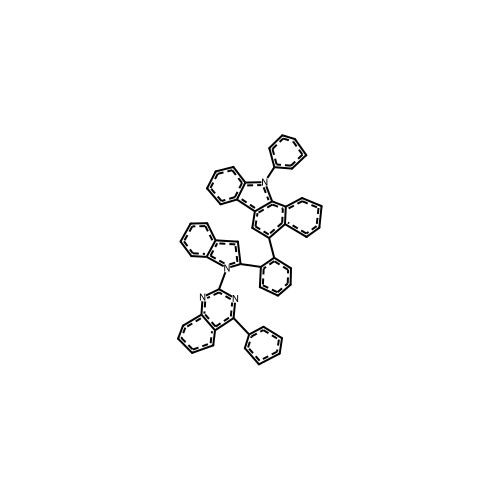 c1ccc(-c2nc(-n3c(-c4ccccc4-c4cc5c6ccccc6n(-c6ccccc6)c5c5ccccc45)cc4ccccc43)nc3ccccc23)cc1